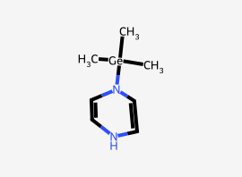 [CH3][Ge]([CH3])([CH3])[N]1C=CNC=C1